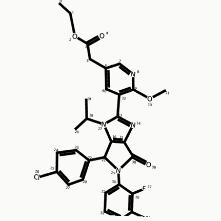 CCOC(=O)Cc1cnc(OC)c(-c2nc3c(n2C(C)C)C(c2ccc(Cl)cc2)N(c2cccc(Cl)c2F)C3=O)c1